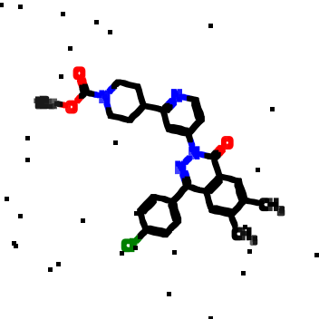 Cc1cc2c(-c3ccc(Cl)cc3)nn(-c3ccnc(C4CCN(C(=O)OC(C)(C)C)CC4)c3)c(=O)c2cc1C